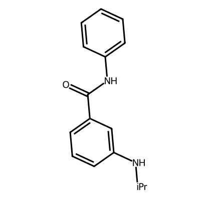 CC(C)Nc1cccc(C(=O)Nc2ccccc2)c1